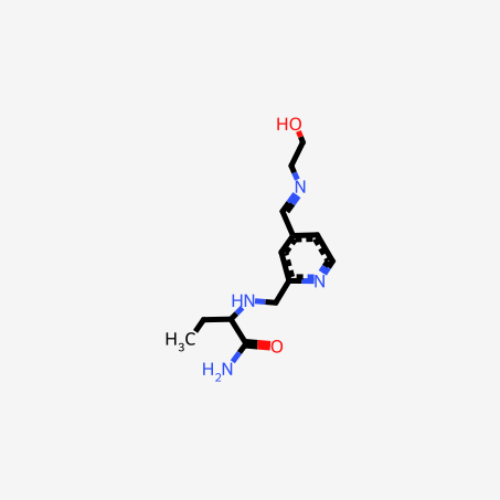 CCC(NCc1cc(C=NCCO)ccn1)C(N)=O